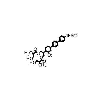 C=C(CO)C(=O)OCC(COC(=O)C(=C)CO)C1CCC(c2ccc(-c3ccc(CCCCC)cc3)cc2)CC1CC